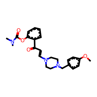 COc1ccc(CN2CCN(C=CC(=O)c3ccccc3OC(=O)N(C)C)CC2)cc1